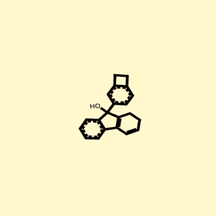 OC1(c2ccc3c(c2)CC3)C2=C(C=CCC2)c2ccccc21